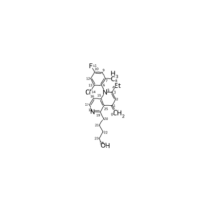 C=C1C=C(CC)N(c2c(C)cc(F)cc2Cl)c2ccnc(CCCCO)c21